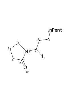 CCCCCCCC(I)N1CCCC1=O